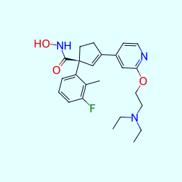 CCN(CC)CCOc1cc(C2=C[C@](C(=O)NO)(c3cccc(F)c3C)CC2)ccn1